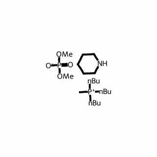 C1CCNCC1.CCCC[P+](C)(CCCC)CCCC.COP(=O)([O-])OC